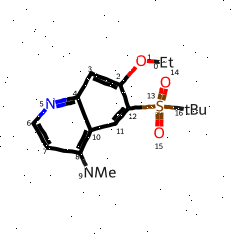 CCOc1cc2nccc(NC)c2cc1S(=O)(=O)C(C)(C)C